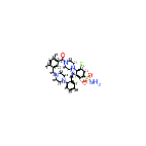 Cc1cc(C)c(C(=O)N2CCN(c3cc(F)c(S(N)(=O)=O)cc3F)CC2)cc1CN1CCN(c2ccccc2C#N)CC1